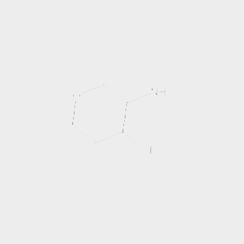 CC1CCOCC1N